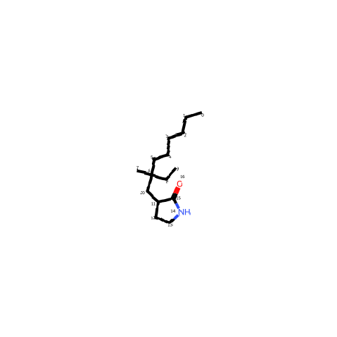 CCCCCCC(C)(CC)CC1CCNC1=O